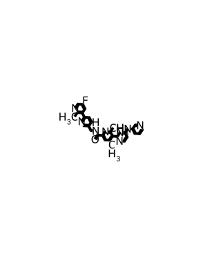 Cc1cc(C(=O)NCc2ccc(-c3cc(F)cnc3C)nc2)nc(C)c1-c1nccc(Nc2cccnc2)n1